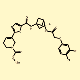 CC(C)(C)OC(=O)N1CCC=C(c2ncc(C(=O)NC34CC(C3)[C@@H](NC(=O)COc3ccc(Cl)c(F)c3)C4)o2)C1